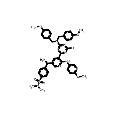 COc1ccc(CN(Cc2ccc(OC)cc2)c2nc(C)nc(-c3cc(C(N)c4ccc(S(=O)(=O)N(C)C)cc4)cnc3Nc3ccc(OC)nc3)n2)cc1